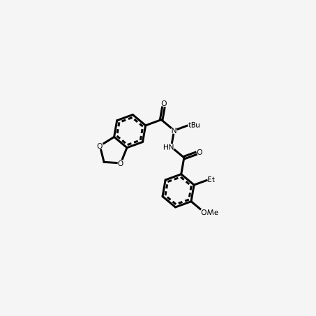 CCc1c(OC)cccc1C(=O)NN(C(=O)c1ccc2c(c1)OCO2)C(C)(C)C